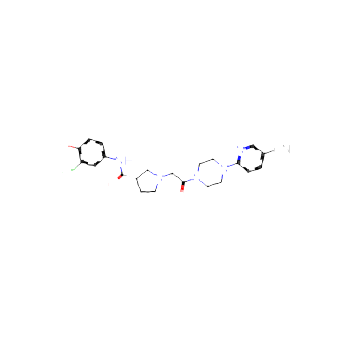 N#Cc1ccc(N2CCN(C(=O)CN3CC[C@@H](C(=O)Nc4ccc(O)c(Cl)c4)C3)CC2)nc1